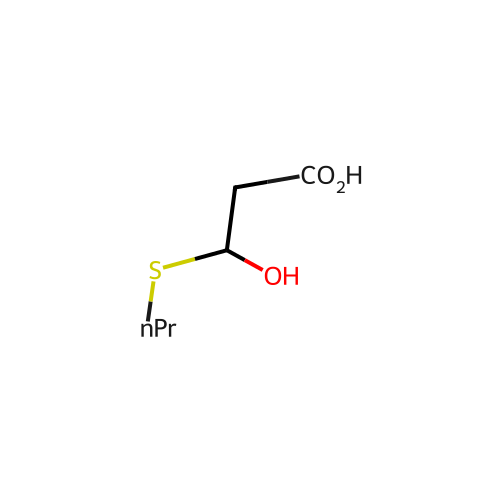 CCCSC(O)CC(=O)O